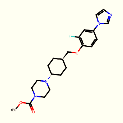 CC(C)(C)OC(=O)N1CCN([C@H]2CC[C@H](COc3ccc(-n4ccnc4)cc3F)CC2)CC1